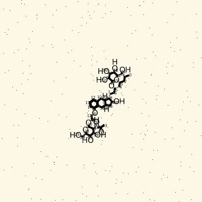 CCCCC[C@H](CC[C@H]1[C@@H]2Cc3cccc(OCC(=O)OC4O[C@H](CO)[C@@H](O)[C@H](O)[C@H]4NC(C)=O)c3C[C@@H]2C[C@@H]1O)O[C@@H]1O[C@H](CO)[C@H](O)[C@H](O)[C@H]1O